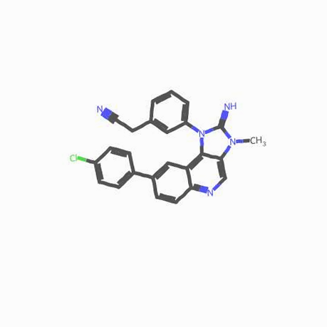 Cn1c(=N)n(-c2cccc(CC#N)c2)c2c3cc(-c4ccc(Cl)cc4)ccc3ncc21